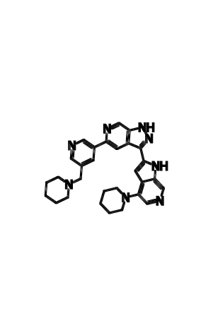 c1ncc(-c2cc3c(-c4cc5c(N6CCCCC6)cncc5[nH]4)n[nH]c3cn2)cc1CN1CCCCC1